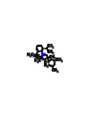 CC1=CC(C)([C@@]2(C)C=[N+](c3c(C(C)C)cccc3C(C)C)C(C)(C)C2)CC(C)=C1